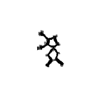 C=CCS1(CC=C)N=NC(S)=C1S